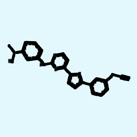 C#CCc1cccc(-c2ccc(-c3ccnc(Nc4cccc(C(C)O)c4)n3)s2)c1